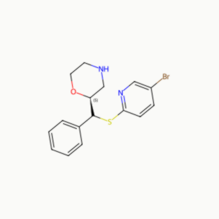 Brc1ccc(SC(c2ccccc2)[C@@H]2CNCCO2)nc1